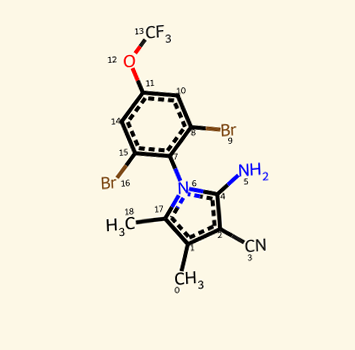 Cc1c(C#N)c(N)n(-c2c(Br)cc(OC(F)(F)F)cc2Br)c1C